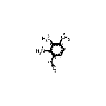 Cc1ccc(N=O)c(N)c1C